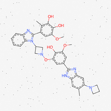 COc1cc(-c2nc3cc(N4CCC4)c(C)cc3[nH]2)cc(ON2CC(n3c(-c4cc(OC)c(O)c(O)c4C)nc4ccccc43)C2)c1O